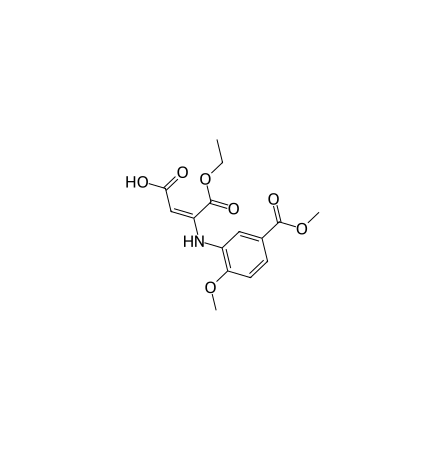 CCOC(=O)C(=CC(=O)O)Nc1cc(C(=O)OC)ccc1OC